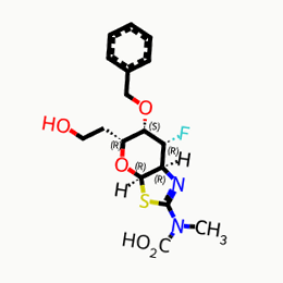 CN(C(=O)O)C1=N[C@@H]2[C@@H](F)[C@@H](OCc3ccccc3)[C@@H](CCO)O[C@@H]2S1